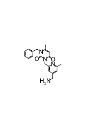 Cc1cc(CN)cc(Cn2c(=O)cc(C)n(Cc3ccccc3)c2=O)n1